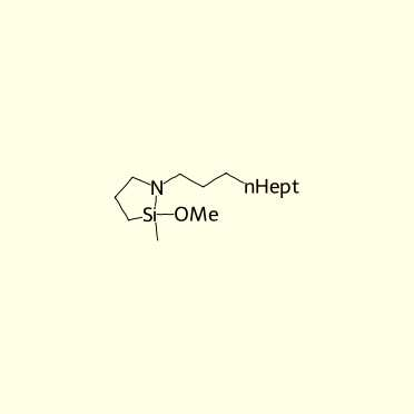 CCCCCCCCCCN1CCC[Si]1(C)OC